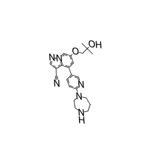 CC(C)(O)COc1cc(-c2ccc(N3CCCNCC3)nc2)c2c(C#N)cnn2c1